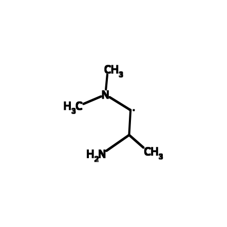 CC(N)[CH]N(C)C